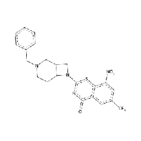 O=c1nc(N2CC3CN(Cc4ccccc4)CCC32)sc2c([N+](=O)[O-])cc(C(F)(F)F)cc12